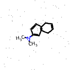 CN(C)c1ccc2c(c1)CC=C[CH]2